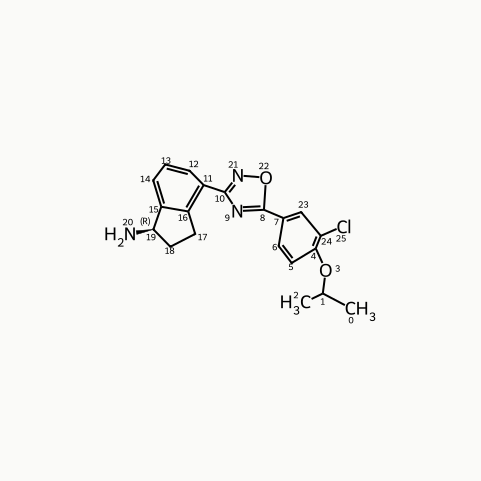 CC(C)Oc1ccc(-c2nc(-c3cccc4c3CC[C@H]4N)no2)cc1Cl